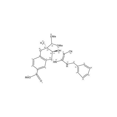 COC(=O)c1ccc2c(c1)[C@@H](NC(=NC#N)NCc1ccccc1)[C@H](O)[C@](C)(C(OC)OC)O2